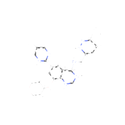 Cc1cnc(-c2cc(OC3CCOCC3)c3ncnc(NCc4ccc(C)nn4)c3c2)nc1